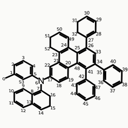 Cc1cccc(N(C2=c3ccccc3=CCC2)c2ccc3c(c2)c2c(c4c(C5=CC=CCC5)cc(-c5ccccc5)c(-c5ccccc5)c43)C=CCC2)c1